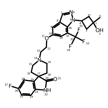 CC1(O)CC(n2ncc3cc(OCCN4CCC5(CC4)C(=O)Nc4ccc(F)cc45)cc(C(F)(F)F)c32)C1